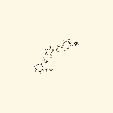 COc1ccccc1NCc1coc(/C=C/c2ccc(C(F)(F)F)cc2)n1